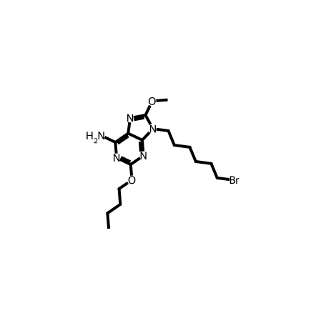 CCCCOc1nc(N)c2nc(OC)n(CCCCCCBr)c2n1